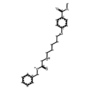 COC(=O)c1ccc(OCCCCCNCC(=O)OCc2ccccc2)cc1